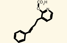 O=C(O)Oc1ncccc1CCC=Cc1ccccc1